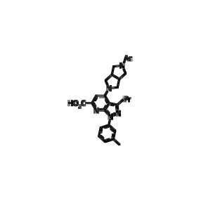 CC(=O)N1CC2CN(c3cc(C(=O)O)nc4c3c(C(C)C)nn4-c3cccc(C)c3)CC2C1